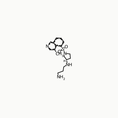 Cc1cncc2cccc(S(=O)(=O)N3CC[C@@H](NCCCN)C3)c12